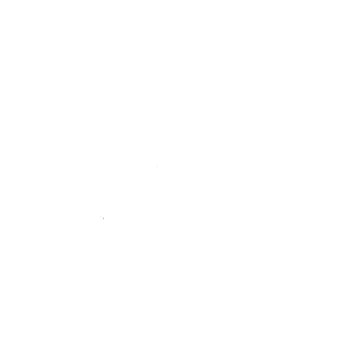 C=CS/C(=C\N)C(C)(C)CCCC